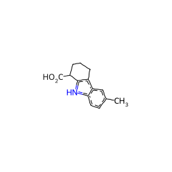 Cc1ccc2[nH]c3c(c2c1)CCCC3C(=O)O